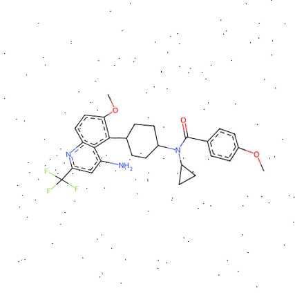 COc1ccc(C(=O)N(C2CCC(c3c(OC)ccc4nc(C(F)(F)F)cc(N)c34)CC2)C2CC2)cc1